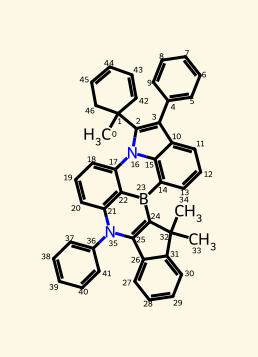 CC1(c2c(-c3ccccc3)c3cccc4c3n2-c2cccc3c2B4C2=C(c4ccccc4C2(C)C)N3c2ccccc2)C=CC=CC1